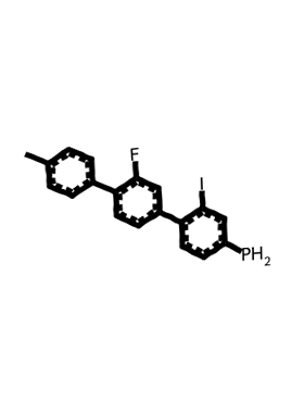 Cc1ccc(-c2ccc(-c3ccc(P)cc3I)cc2F)cc1